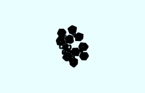 c1ccc(N(c2ccccc2)c2ccc3c(c2)-n2c4ccccc4c4ccc5c(c42)B3c2oc3c(c2O5)Oc2ccc4c5ccccc5n5c4c2B3c2ccc(N(c3ccccc3)c3ccccc3)cc2-5)cc1